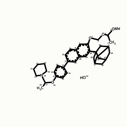 COC(C)OCOc1cc2ccc(-c3ccc(OC(C)N4CCCCC4)cc3)cc2cc1C12CC3CC(CC(C3)C1)C2.Cl